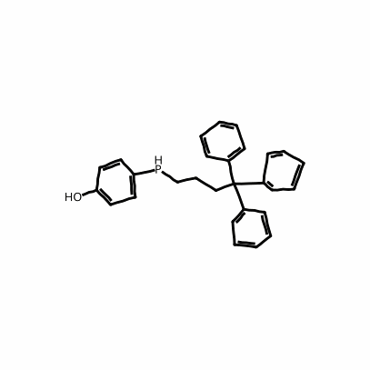 Oc1ccc(PCCCC(c2ccccc2)(c2ccccc2)c2ccccc2)cc1